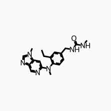 CCc1cc(CNC(=O)NC)ccc1N(C)c1cc2c(cn1)ncn2C